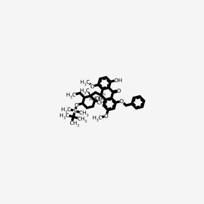 CCC1C(O[Si](C)(C)C(C)(C)C)CCC(C)(C)[C@@]1(C)C[C@@]1(C)c2cc(OC)cc(OCc3ccccc3)c2C(=O)c2c(O)ccc(OC)c21